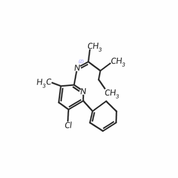 CCC(C)/C(C)=N\c1nc(C2=CC=CCC2)c(Cl)cc1C